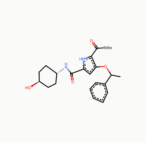 CNC(=O)c1[nH]c(C(=O)N[C@H]2CC[C@H](O)CC2)cc1OC(C)c1ccccc1